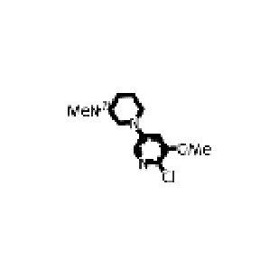 CN[C@@H]1CCCN(c2cnc(Cl)c(OC)c2)C1